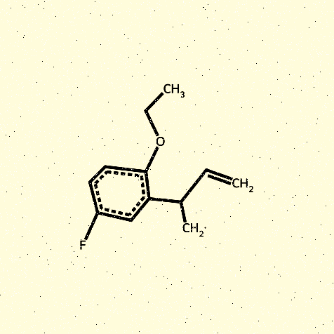 [CH2]C(C=C)c1cc(F)ccc1OCC